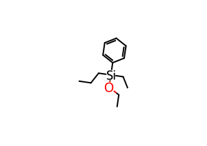 CCC[Si](CC)(OCC)c1ccccc1